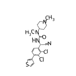 CN1CCC(N(C)C(=O)NC(C#N)c2ccc(-c3ccsc3)c(Cl)c2Cl)CC1